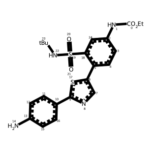 CCOC(=O)Nc1ccc(-c2cnc(-c3ccc(N)cc3)s2)c(S(=O)(=O)NC(C)(C)C)c1